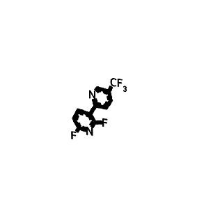 Fc1ccc(-c2ccc(C(F)(F)F)cn2)c(F)n1